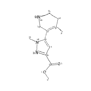 COC(=O)c1cc(C2=C(C)CCNC2)n(C)n1